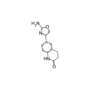 Nc1nc(-c2ccc3c(c2)CCC(=O)N3)co1